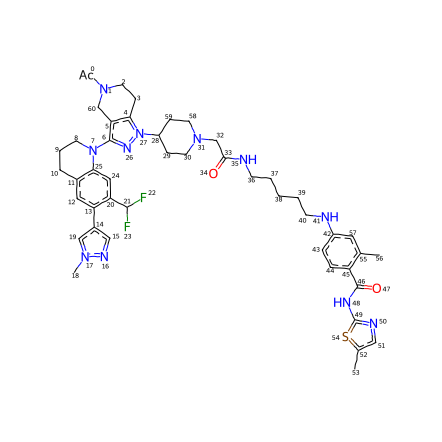 CC(=O)N1CCc2c(c(N3CCCc4cc(-c5cnn(C)c5)c(C(F)F)cc43)nn2C2CCN(CC(=O)NCCCCCNc3ccc(C(=O)Nc4ncc(C)s4)c(C)c3)CC2)C1